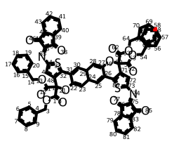 O=C(OCc1ccccc1)C1(C(=O)OCc2ccccc2)OC2=CC3C=C4C(=CC3C=C2c2sc(N=c3c(=O)c5ccccc5c3=O)cc21)OC(C(=O)OCc1ccccc1)(C(=O)OCc1ccccc1)c1cc(N=c2c(=O)c3ccccc3c2=O)sc14